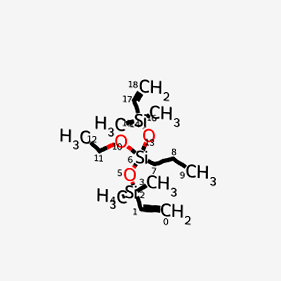 C=C[Si](C)(C)O[Si](CCC)(OCC)O[Si](C)(C)C=C